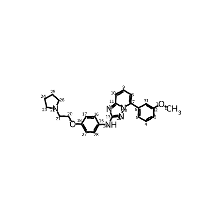 COc1cccc(-c2cccc3nc(Nc4ccc(OCCN5CCCC5)cc4)nn23)c1